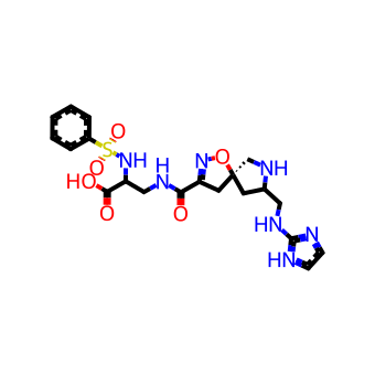 O=C(NCC(NS(=O)(=O)c1ccccc1)C(=O)O)C1=NO[C@]2(CNC(CNc3ncc[nH]3)C2)C1